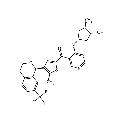 Cc1sc(C(=O)c2cncnc2N[C@@H]2C[C@@H](C)[C@H](O)C2)cc1[C@@H]1OCCc2ccc(C(F)(F)F)cc21